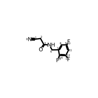 N#CCC(=O)NCc1cc(F)cc(F)c1F